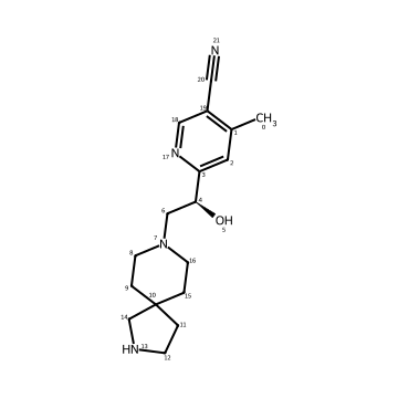 Cc1cc([C@@H](O)CN2CCC3(CCNC3)CC2)ncc1C#N